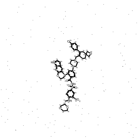 O=C(NS(=O)(=O)c1ccc(NC[C@H]2COCCO2)c([N+](=O)[O-])c1)c1ccc(N2CCN(CC3=C(c4ccc(Cl)cc4)CC4(CC3)COC4)CC2)cc1N1CCOc2nc3[nH]ccc3cc21